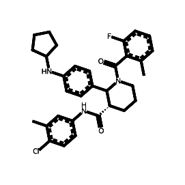 Cc1cc(NC(=O)[C@H]2CCCN(C(=O)c3c(C)cccc3F)C2c2ccc(NC3CCCC3)cc2)ccc1Cl